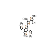 CC(C)COc1cc(-c2cc3c(-c4ccc(CC(C)C)s4)c4sc(C(C)(C)C)cc4c(-c4ccc(CC(C)C)s4)c3s2)sc1-c1sc(C(C)(C)C)cc1C#N